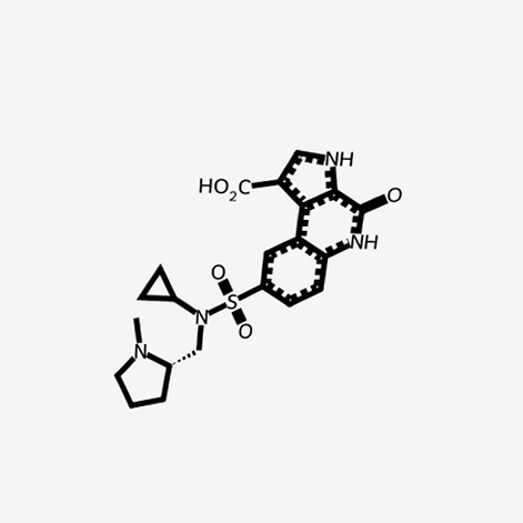 CN1CCC[C@H]1CN(C1CC1)S(=O)(=O)c1ccc2[nH]c(=O)c3[nH]cc(C(=O)O)c3c2c1